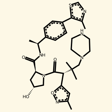 Cc1cc([C@H](C(=O)N2C[C@H](O)C[C@H]2C(=O)N[C@@H](C)c2ccc(-c3scnc3C)cc2)C(C)(C)CN2CCNCC2)on1